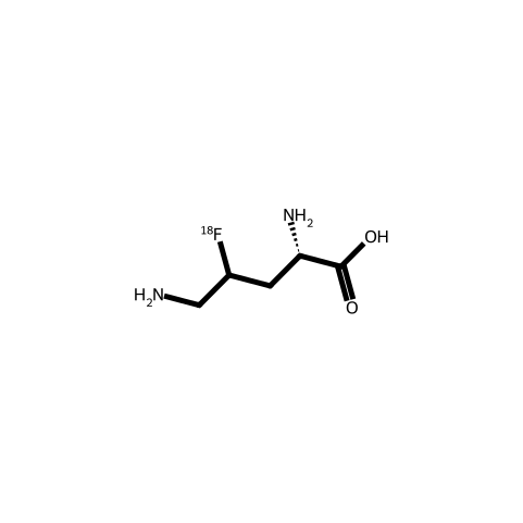 NCC([18F])C[C@H](N)C(=O)O